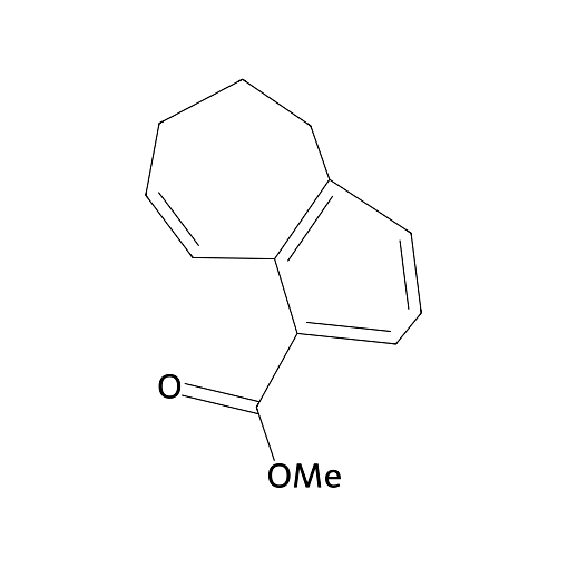 COC(=O)c1cccc2c1C=CCCC2